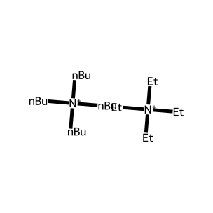 CCCC[N+](CCCC)(CCCC)CCCC.CC[N+](CC)(CC)CC